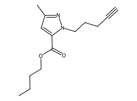 C#CCCCn1nc(C)cc1C(=O)OCCCC